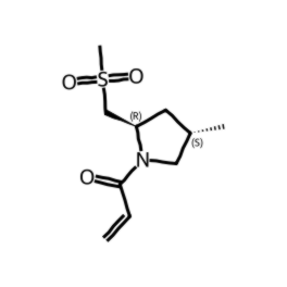 C=CC(=O)N1C[C@@H](C)C[C@@H]1CS(C)(=O)=O